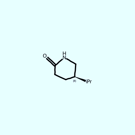 CC(C)[C@H]1CCC(=O)NC1